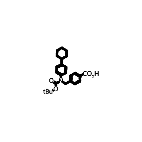 CC(C)(C)OC(=O)N(Cc1ccc(C(=O)O)cc1)c1ccc(C2CCCCC2)cc1